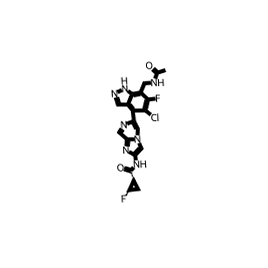 CC(=O)NCc1c(F)c(Cl)c(-c2cn3cc(NC(=O)[C@@H]4C[C@@H]4F)nc3cn2)c2cn[nH]c12